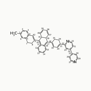 Cc1ccc2c(c1)CCC(C1=c3ccccc3=C(C3=CC=C(c4cc(-c5ccncc5)ccn4)CC3)C3C=CC=CC13)=C2